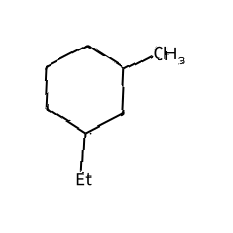 CC[C]1CCCC(C)C1